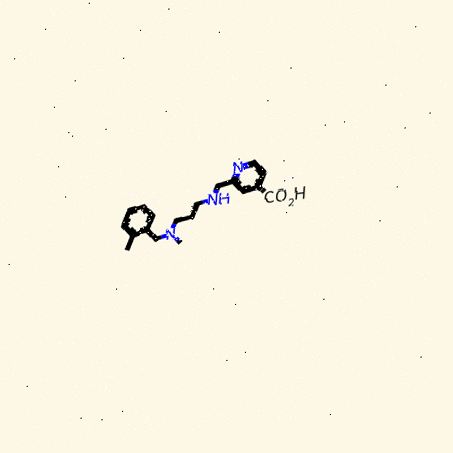 Cc1ccccc1CN(C)CCCNCc1cc(C(=O)O)ccn1